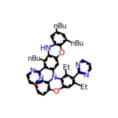 CCCCc1cc(CCCC)c2c(c1)Nc1c(cc(N3c4ccccc4Oc4cc(CC)c(-c5ncccn5)c(CC)c43)c(-c3ncccn3)c1CCCC)O2